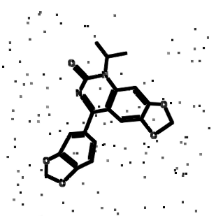 CC(C)n1c(=O)nc(-c2ccc3c(c2)OCO3)c2cc3c(cc21)OCO3